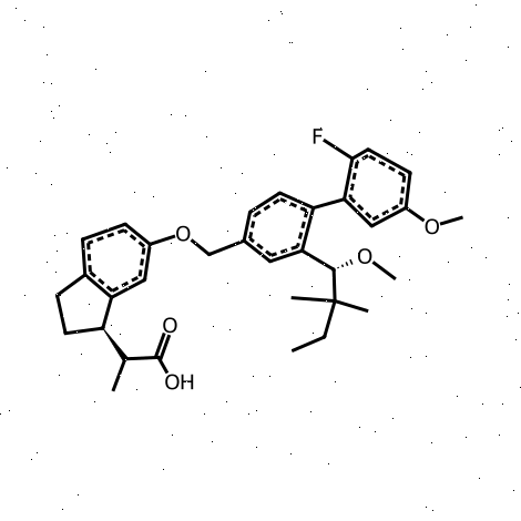 CCC(C)(C)[C@@H](OC)c1cc(COc2ccc3c(c2)[C@@H](C(C)C(=O)O)CC3)ccc1-c1cc(OC)ccc1F